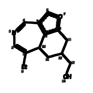 CCC1=CN=Cc2coc3c2C1CC(CO)C3